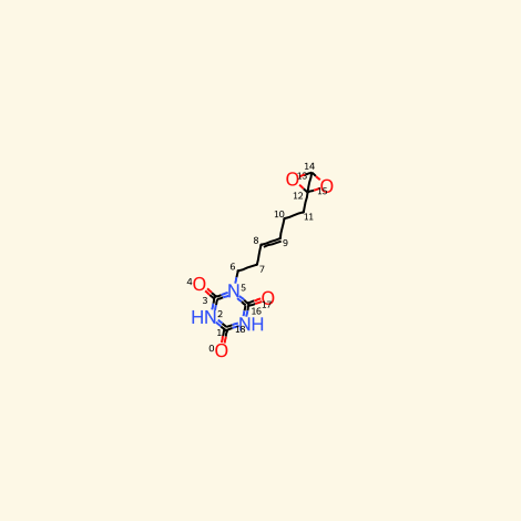 O=c1[nH]c(=O)n(CCC=CCCC23OC2O3)c(=O)[nH]1